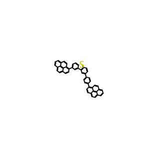 c1cc2ccc3ccc(-c4ccc(-c5ccc6sc7ccc(-c8ccc9ccc%10cccc%11ccc8c9c%10%11)cc7c6c5)cc4)c4ccc(c1)c2c34